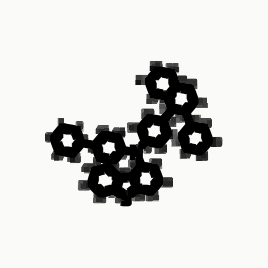 c1ccc(-c2ccc(N(c3ccc(-c4c(-c5ccccc5)ccc5ccccc45)cc3)c3cccc4sc5ccccc5c34)cc2)cc1